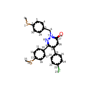 CSc1ccc(Cn2nc(-c3ccc(SC)cc3)c(-c3ccc(F)cc3)cc2=O)cc1